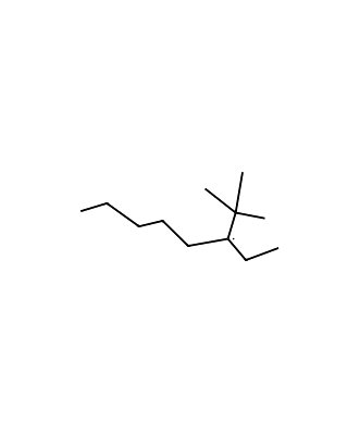 CCCCC[C](CC)C(C)(C)C